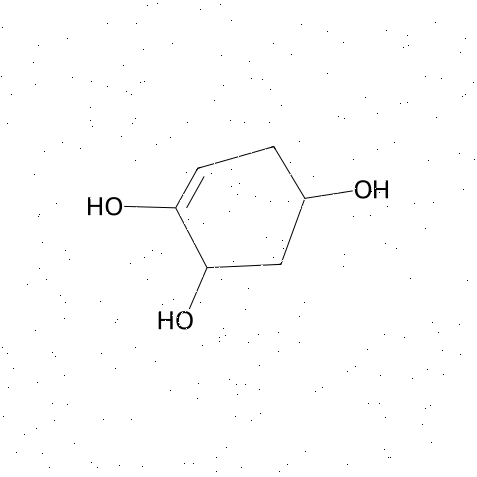 OC1=CCC(O)CC1O